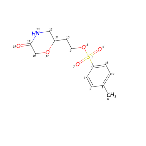 Cc1ccc(S(=O)(=O)OCCC2CNC(=O)CO2)cc1